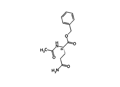 CC(=O)N[C@@H](CCC(N)=O)C(=O)OCc1ccccc1